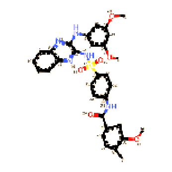 COc1cc(Nc2nc3ccccc3nc2NS(=O)(=O)c2ccc(NC(=O)c3ccc(C)c(OC)c3)cc2)cc(OC)c1